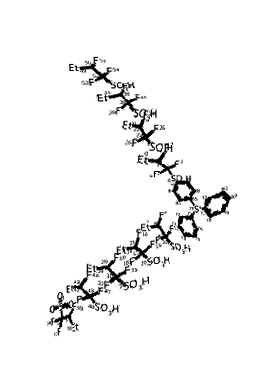 CCC(F)C(F)(F)S(=O)(=O)O.CCC(F)C(F)(F)S(=O)(=O)O.CCC(F)C(F)(F)S(=O)(=O)O.CCC(F)C(F)(F)S(=O)(=O)O.CCC(F)C(F)(F)S(=O)(=O)O.CCC(F)C(F)(F)S(=O)(=O)O.CCC(F)C(F)(F)S(=O)(=O)O.CCC(F)C(F)(F)S(=O)(=O)O.CCC(F)C(F)(F)S(=O)(=O)[O-].c1ccc([S+](c2ccccc2)c2ccccc2)cc1